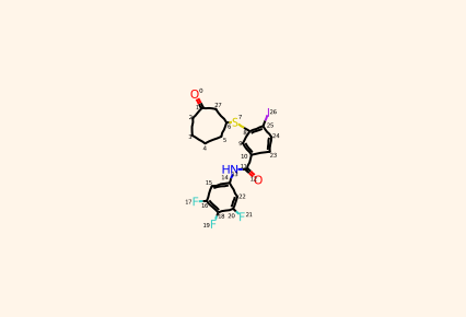 O=C1CCCCC(Sc2cc(C(=O)Nc3cc(F)c(F)c(F)c3)ccc2I)C1